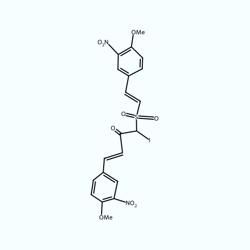 COc1ccc(C=CC(=O)C(I)S(=O)(=O)C=Cc2ccc(OC)c([N+](=O)[O-])c2)cc1[N+](=O)[O-]